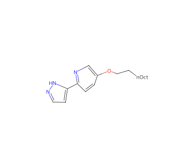 CCCCCCCCCCOc1ccc(-c2ccn[nH]2)nc1